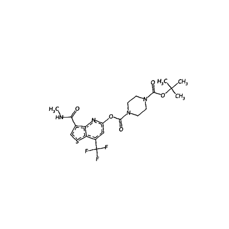 CNC(=O)c1csc2c(C(F)(F)F)cc(OC(=O)N3CCN(C(=O)OC(C)(C)C)CC3)nc12